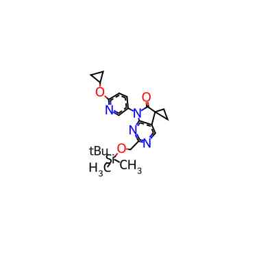 CC(C)(C)[Si](C)(C)OCc1ncc2c(n1)N(c1ccc(OC3CC3)nc1)C(=O)C21CC1